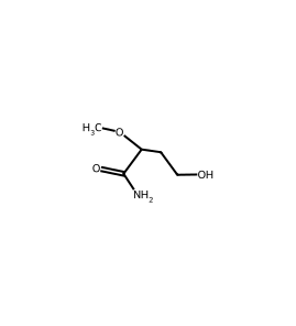 COC(CCO)C(N)=O